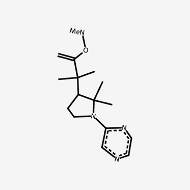 C=C(ONC)C(C)(C)C1CCN(c2cnccn2)C1(C)C